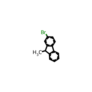 CC1c2ccccc2-c2ccc(Br)cc21